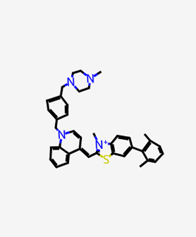 Cc1cccc(C)c1-c1ccc2c(c1)sc(C=C1C=CN(Cc3ccc(CN4CCN(C)CC4)cc3)c3ccccc31)[n+]2C